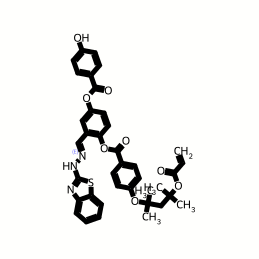 C=CC(=O)OC(C)(C)CC(C)(C)Oc1ccc(C(=O)Oc2ccc(OC(=O)c3ccc(O)cc3)cc2/C=N/Nc2nc3ccccc3s2)cc1